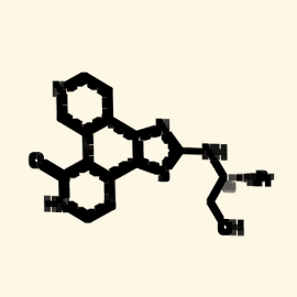 CCC[C@H](CO)Nc1nc2c3ccncc3c3c(=O)[nH]ccc3c2s1